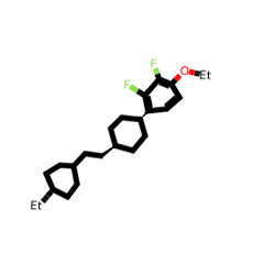 CCOc1ccc([C@H]2CC[C@H](CCC3CCC(CC)CC3)CC2)c(F)c1F